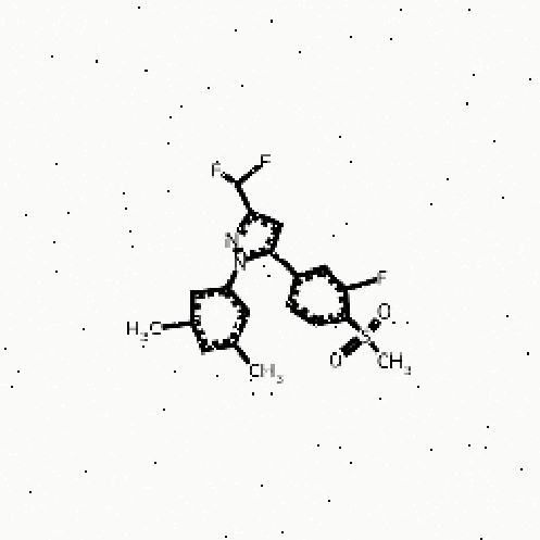 Cc1cc(C)cc(-n2nc(C(F)F)cc2-c2ccc(S(C)(=O)=O)c(F)c2)c1